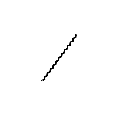 CCCCCCCCCCCCCCCCCCCCCCC[CH]F